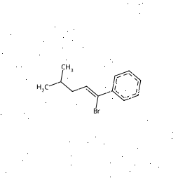 CC(C)CC=C(Br)c1ccccc1